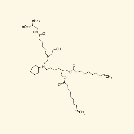 C=CCCCCCCCC(=O)OCC(CCCCN(CCN(CCO)CCCCCC(=O)NCC(CCCCCC)CCCCCCCC)C1CCCCC1)COC(=O)CCCCCCCC=C